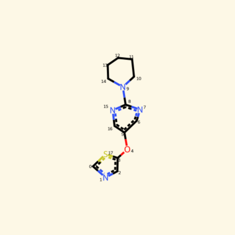 c1ncc(Oc2cnc(N3CCCCC3)nc2)s1